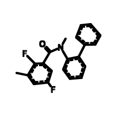 Cc1cc(F)cc(C(=O)N(C)c2ccccc2-c2ccccc2)c1F